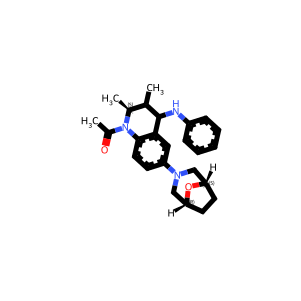 CC(=O)N1c2ccc(N3C[C@H]4CC[C@@H](C3)O4)cc2C(Nc2ccccc2)C(C)[C@@H]1C